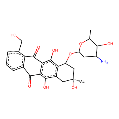 CC(=O)[C@]1(O)Cc2c(O)c3c(c(O)c2C(OC2CC(N)C(O)C(C)O2)C1)C(=O)c1c(CO)cccc1C3=O